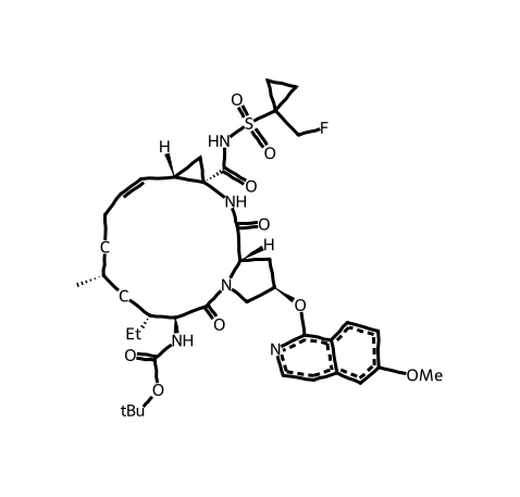 CC[C@@H]1C[C@H](C)CC/C=C\[C@@H]2C[C@@]2(C(=O)NS(=O)(=O)C2(CF)CC2)NC(=O)[C@@H]2C[C@@H](Oc3nccc4cc(OC)ccc34)CN2C(=O)[C@H]1NC(=O)OC(C)(C)C